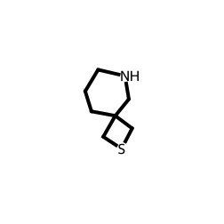 C1CNCC2(C1)CSC2